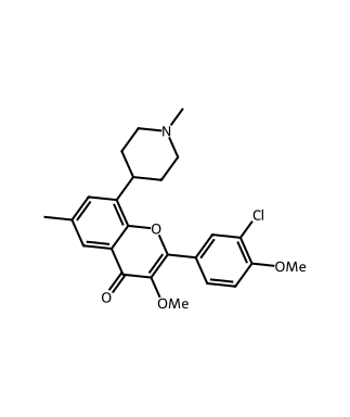 COc1ccc(-c2oc3c(C4CCN(C)CC4)cc(C)cc3c(=O)c2OC)cc1Cl